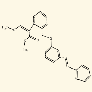 COC=C(C(=O)OC)c1ccccc1COc1cccc(/C=C/c2ccccc2)c1